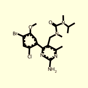 COc1cc(-c2nc(N)nc(C)c2CN(C)C(=O)N(C)C(C)C)c(Cl)cc1Br